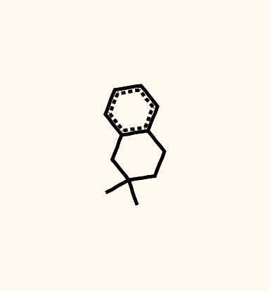 CC1(C)CCc2ccccc2C1